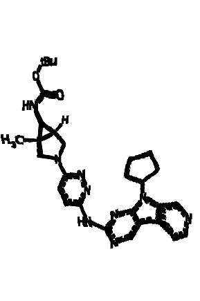 CC(C)(C)OC(=O)NC1[C@@H]2CN(c3ccc(Nc4ncc5c6ccncc6n(C6CCCC6)c5n4)nn3)C[C@]12C